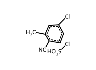 Cc1cc(Cl)ccc1C#N.O=S(=O)(O)Cl